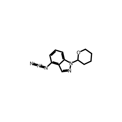 [N-]=[N+]=Nc1cccc2c1cnn2C1CCCCO1